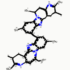 CC1CC2=C(CC(C(C)(C)C)n3c2nc2c(-c4cc(C(C)(C)C)cc5c4nc4c6c(cc(C(C)(C)C)n45)N=C(C(C)(C)C)C(C)C6)cc(C(C)(C)C)cc23)N=C1C(C)(C)C